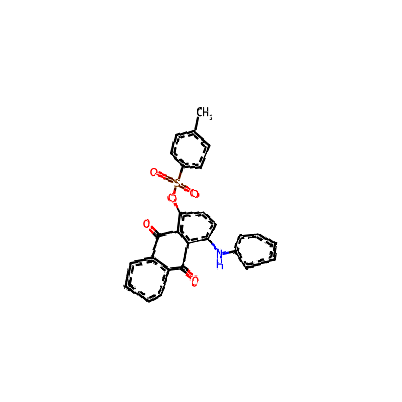 Cc1ccc(S(=O)(=O)Oc2ccc(Nc3ccccc3)c3c2C(=O)c2ccccc2C3=O)cc1